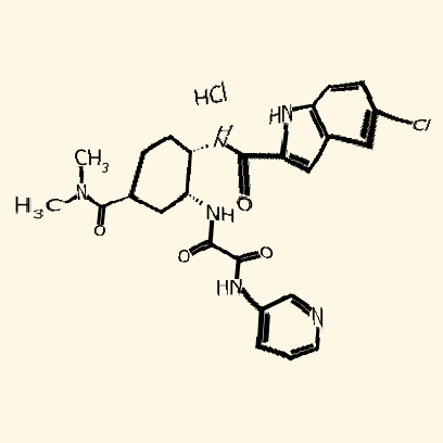 CN(C)C(=O)[C@H]1CC[C@H](NC(=O)c2cc3cc(Cl)ccc3[nH]2)[C@H](NC(=O)C(=O)Nc2cccnc2)C1.Cl